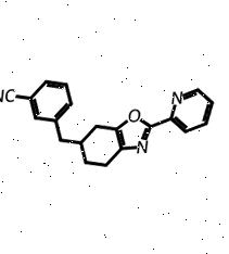 N#Cc1cccc(CC2CCc3nc(-c4ccccn4)oc3C2)c1